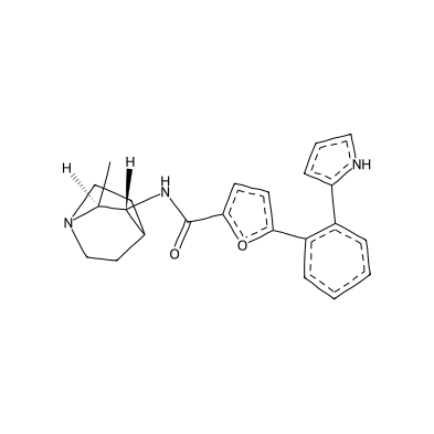 C[C@H]1[C@H](NC(=O)c2ccc(-c3ccccc3-c3ccc[nH]3)o2)C2CCN1CC2